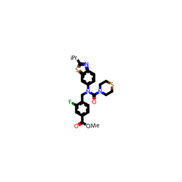 COC(=O)c1ccc(CN(C(=O)N2CCSCC2)c2ccc3nc(C(C)C)sc3c2)c(F)c1